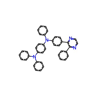 c1ccc(-c2nccnc2-c2ccc(N(c3ccccc3)c3ccc(N(c4ccccc4)c4ccccc4)cc3)cc2)cc1